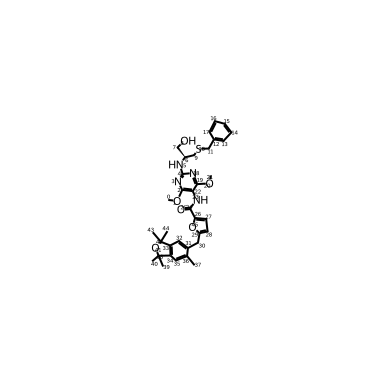 COc1nc(N[C@@H](CO)CSCc2ccccc2)nc(OC)c1NC(=O)c1ccc(Cc2cc3c(cc2C)C(C)(C)OC3(C)C)o1